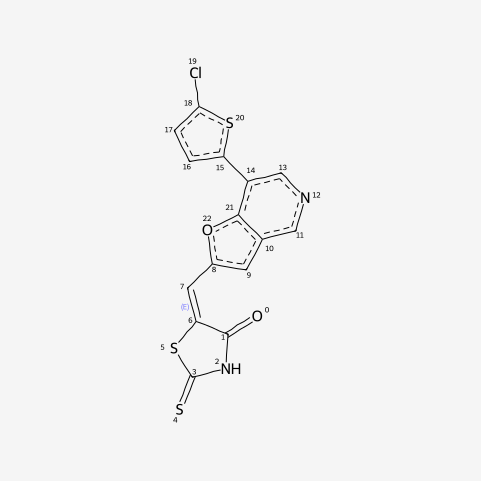 O=C1NC(=S)S/C1=C/c1cc2cncc(-c3ccc(Cl)s3)c2o1